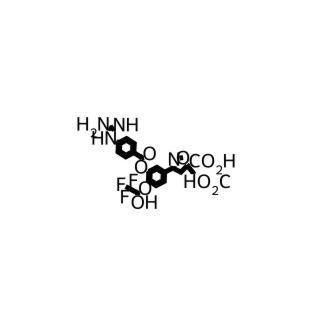 N=C(N)Nc1ccc(C(=O)Oc2cccc(C3=NO[C@@](CC(=O)O)(C(=O)O)C3)c2)cc1.O=C(O)C(F)(F)F